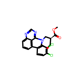 COC(=O)[C@H]1CC[C@H](C)N(c2ncnc3cccc(-c4ccc(Cl)c(Cl)c4)c23)C1